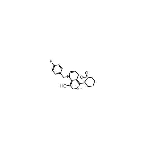 O=S1(=O)CCCCN1C1=C2CC=CN(Cc3ccc(F)cc3)C2=C(O)CN1